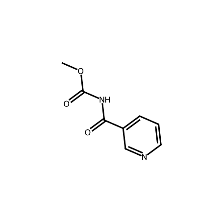 COC(=O)NC(=O)c1cccnc1